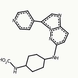 O=C(O)NC1CCC(Nc2ccc3ncc(-c4ccncc4)n3n2)CC1